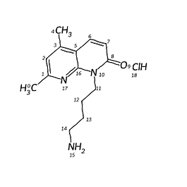 Cc1cc(C)c2ccc(=O)n(CCCCN)c2n1.Cl